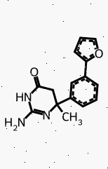 CC1(c2cccc(-c3ccco3)c2)CC(=O)NC(N)=N1